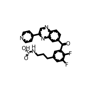 O=C(c1ccc2ncc(-c3ccncc3)nc2c1)c1cc(CCCN[SH](=O)=O)cc(F)c1F